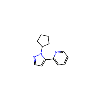 c1ccc(-c2ccnn2C2CCCC2)nc1